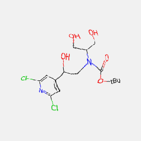 CC(C)(C)OC(=O)N(CC(O)c1cc(Cl)nc(Cl)c1)C(CO)CO